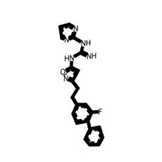 N=C(Nc1ncccn1)Nc1cc(CCc2ccc(-c3ccccc3)c(F)c2)no1